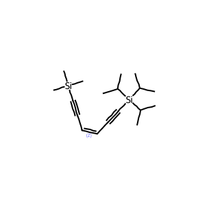 CC(C)[Si](C#C/C=C\C#C[Si](C)(C)C)(C(C)C)C(C)C